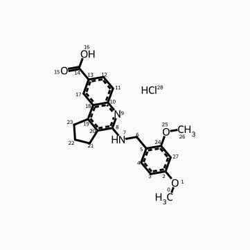 COc1ccc(CNc2nc3ccc(C(=O)O)cc3c3c2CCC3)c(OC)c1.Cl